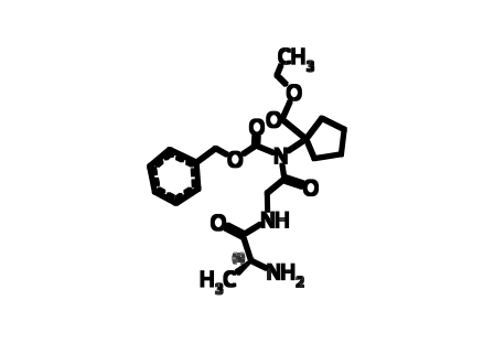 CCOC(=O)C1(N(C(=O)CNC(=O)[C@H](C)N)C(=O)OCc2ccccc2)CCCC1